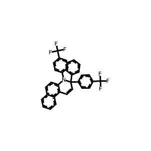 FC(F)(F)c1ccc(N2c3ccc4ccccc4c3C=CC2(c2ccccc2)c2ccc(C(F)(F)F)cc2)cc1